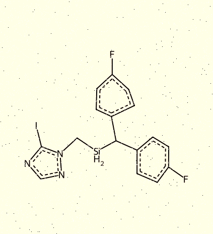 Fc1ccc(C([SiH2]Cn2ncnc2I)c2ccc(F)cc2)cc1